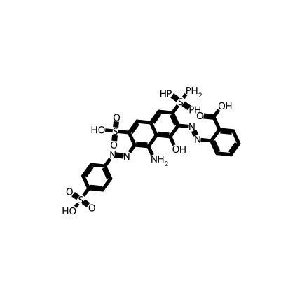 Nc1c(N=Nc2ccc(S(=O)(=O)O)cc2)c(S(=O)(=O)O)cc2cc(S(=P)(=P)P)c(N=Nc3ccccc3C(=O)O)c(O)c12